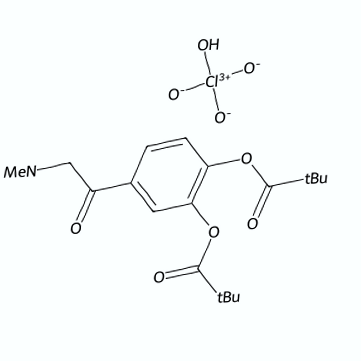 CNCC(=O)c1ccc(OC(=O)C(C)(C)C)c(OC(=O)C(C)(C)C)c1.[O-][Cl+3]([O-])([O-])O